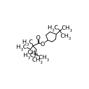 CC(C)C(C)(CC(C)(C)C)C(=O)OC1CCC(C(C)(C)C)CC1